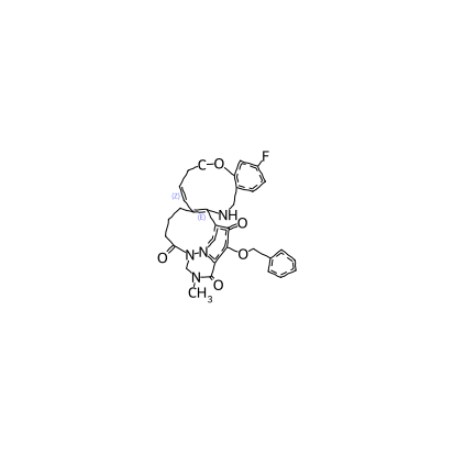 CN1CN2C(=O)CCCC3=C(\NCc4ccc(F)cc4OCC/C=C\3)c3cn2c(c(OCc2ccccc2)c3=O)C1=O